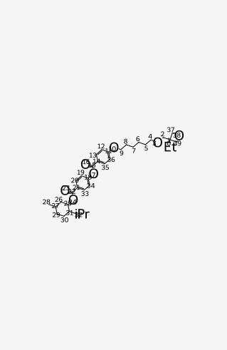 CCC1(COCCCCCCOc2ccc(C(=O)Oc3ccc(C(=O)OC4CC(C)CCC4C(C)C)cc3)cc2)COC1